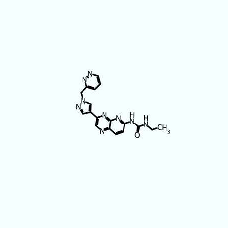 CCNC(=O)Nc1ccc2ncc(-c3cnn(Cc4cccnn4)c3)nc2n1